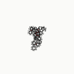 CC1(C)c2ccccc2-c2ccc(N(c3ccc4c(c3)C3(c5ccccc5O4)c4cc(C5CCCCC5)ccc4-c4ccc(C5CCCCC5)cc43)c3ccc4c(c3)C3(c5ccccc5Oc5ccccc53)c3ccccc3-4)cc21